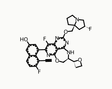 C#Cc1c(F)ccc2cc(O)cc(-c3nc4c5c(nc(OC[C@@]67CCCN6C[C@H](F)C7)nc5c3F)N[C@@H]([C@H]3CCO3)CO4)c12